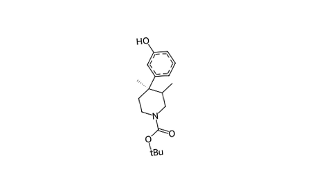 CC1CN(C(=O)OC(C)(C)C)CC[C@@]1(C)c1cccc(O)c1